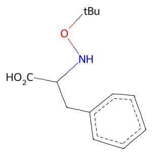 CC(C)(C)ONC(Cc1ccccc1)C(=O)O